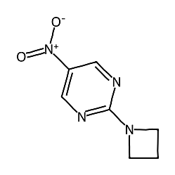 O=[N+]([O-])c1cnc(N2CCC2)nc1